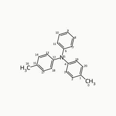 Cc1ccc(N(c2[c]cccc2)c2ccc(C)cc2)cc1